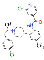 CC(Cc1ccc(Cl)cc1)N1CCC(c2cc(C(F)(F)F)ccc2NC(=O)c2ccnc(Cl)c2)CC1